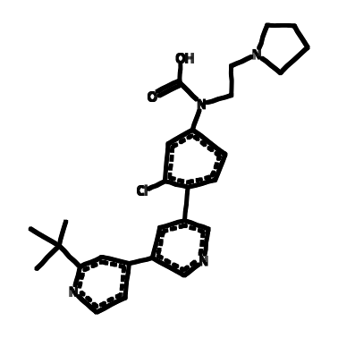 CC(C)(C)c1cc(-c2cncc(-c3ccc(N(CCN4CCCC4)C(=O)O)cc3Cl)c2)ccn1